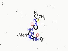 CNc1cc(Nc2cccn(-c3nc(C)c(C)s3)c2=O)nc2c(C(=O)NC3CCC3)cnn12